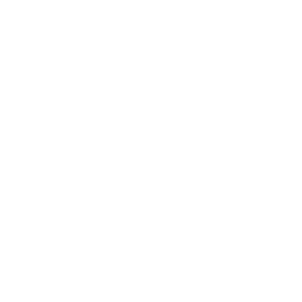 CCOC(C)=O.CCOC(C)=O.CCOC(C)=O.ClC(Cl)Cl.ClC(Cl)Cl